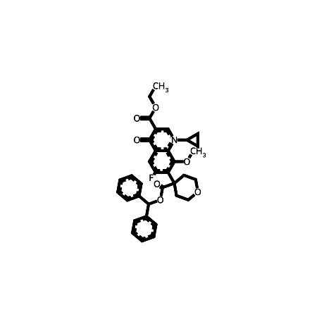 CCOC(=O)c1cn(C2CC2)c2c(OC)c(C3(C(=O)OC(c4ccccc4)c4ccccc4)CCOCC3)c(F)cc2c1=O